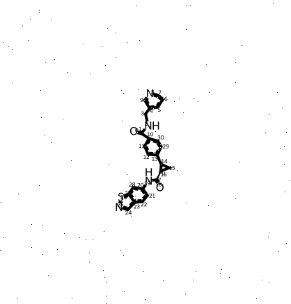 O=C(NCc1cccnc1)c1ccc(C2C[C@H]2C(=O)Nc2ccc3cnsc3c2)cc1